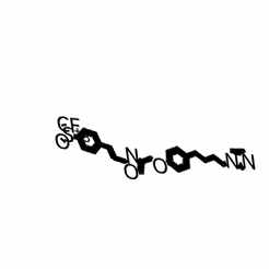 [O-][S+](c1ccc(/C=C/c2nc(COc3ccc(CCCCn4ccnc4)cc3)co2)cc1)C(F)(F)F